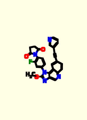 COc1nc2cnc3ccc(C#Cc4cccnc4)cc3c2n1-c1ccc(N2C(=O)CCC2=O)c(F)c1